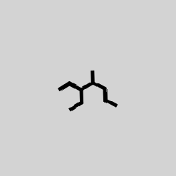 CCC[C](C)C(CC)CC